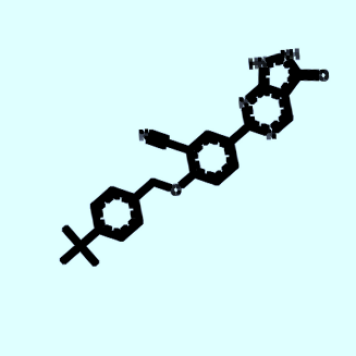 CC(C)(C)c1ccc(COc2ccc(-c3ncc4c(=O)[nH][nH]c4n3)cc2C#N)cc1